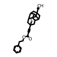 C#CC12CC3C4CC5(C#CC(=O)OCCc6ccccc6)CC3C(C1)C(C5)C4C2